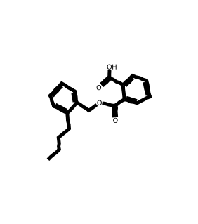 CCCCc1ccccc1COC(=O)c1ccccc1C(=O)O